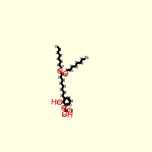 CCCCCCCCOC(CCCCCCCc1cccc(OC(=O)O)c1O)OCCCCCCCC